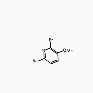 COc1ccc(C(C)C)nc1Br